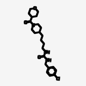 O=C(NCCCCC1CCN(C(=O)C2CCOCC2)CC1)NCc1ccc(Cl)cc1